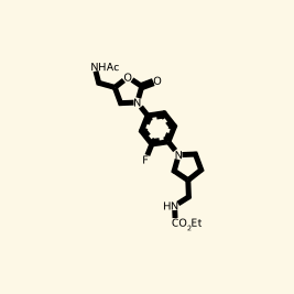 CCOC(=O)NCC1CCN(c2ccc(N3CC(CNC(C)=O)OC3=O)cc2F)C1